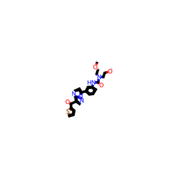 COCCN(CCOC)C(=O)Nc1cccc(-c2ccnc3c(C(=O)c4cccs4)cnn23)c1